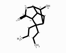 CCCC1(CCC)C2CC3C(OC(=O)C31)C2O